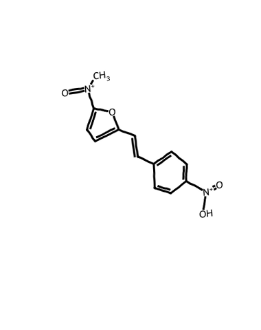 C[N+](=O)c1ccc(/C=C/c2ccc([N+](=O)O)cc2)o1